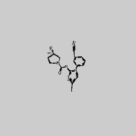 Cc1cn(-c2cccc(C#N)c2)c(=NC(=O)N2CC[C@@H](F)C2)s1